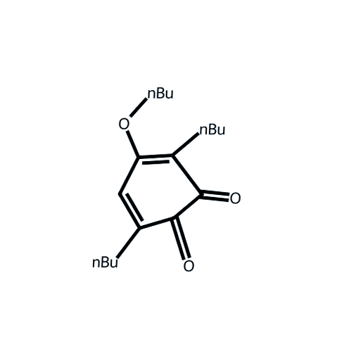 CCCCOC1=C(CCCC)C(=O)C(=O)C(CCCC)=C1